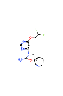 NC1OC2(CN3CCC2CC3)CN1c1cc(OCC(F)F)ncn1